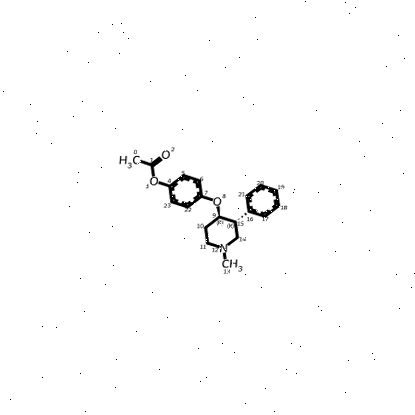 CC(=O)Oc1ccc(O[C@@H]2CCN(C)C[C@H]2c2ccccc2)cc1